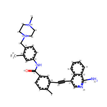 Cc1ccc(C(=O)Nc2ccc(CN3CCN(C)CC3)c(C(F)(F)F)c2)cc1C#Cc1cnc(N)c2ccccc12